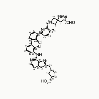 CNC1(CCC=O)CN(Cc2nc(-c3cccc(-c4cccc(Nc5nccc6sc(CN7CCC(C(=O)O)C7)nc56)c4Cl)c3Cl)ccc2C)C1